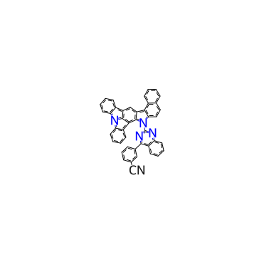 N#Cc1cccc(-c2nc(-n3c4ccc5ccccc5c4c4cc5c6ccccc6n6c7ccccc7c(c43)c56)nc3ccccc23)c1